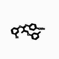 CCc1cccc(OC(=N/c2ccc(OC)cc2)/C(C)=C/Oc2cccc(C)c2)c1